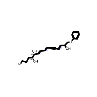 CC(=O)CCC[C@H](O)[C@H](O)/C=C/C=C/C#C/C=C/C(O)COc1ccccc1